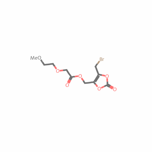 COCCOCC(=O)OCc1oc(=O)oc1CBr